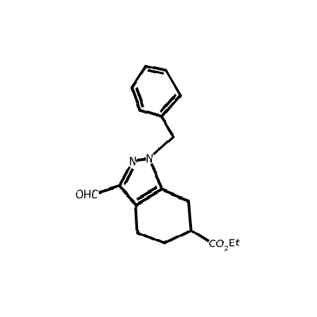 CCOC(=O)C1CCc2c(C=O)nn(Cc3ccccc3)c2C1